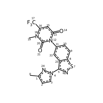 Cc1ccn(-c2nsc3ccc(-n4c(=O)cc(C(F)(F)F)n(C)c4=O)cc23)n1